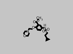 COC(=O)c1cc(NS(=O)(=O)CCC2CC2)ccc1OCCN1CCOCC1